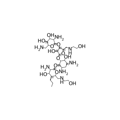 CCC[C@@H]1C(CNCCO)O[C@H](O[C@@H]2C(N)C[C@@H](N)C(O)C2O[C@@H]2O[C@H](CNCCO)[C@H](O[C@H]3OC(CN)[C@@H](O)C(O)C3N)[C@@H]2O)C(N)C1O